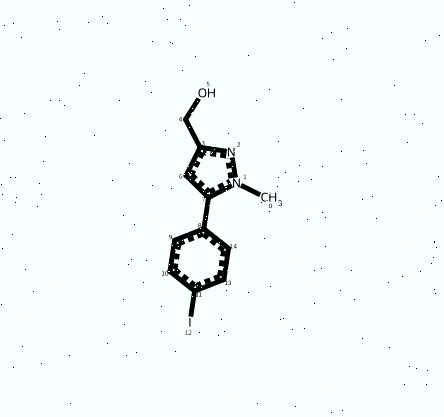 Cn1nc(CO)cc1-c1ccc(I)cc1